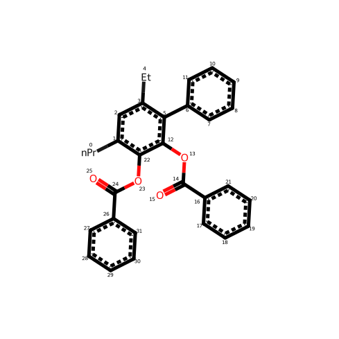 CCCc1cc(CC)c(-c2ccccc2)c(OC(=O)c2ccccc2)c1OC(=O)c1ccccc1